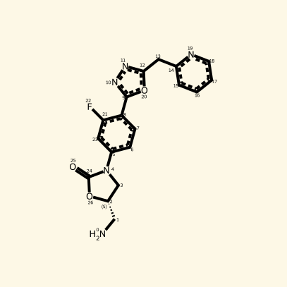 NC[C@H]1CN(c2ccc(-c3nnc(Cc4ccccn4)o3)c(F)c2)C(=O)O1